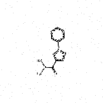 CN(C)C(=O)c1cnn(-c2cccnc2)c1